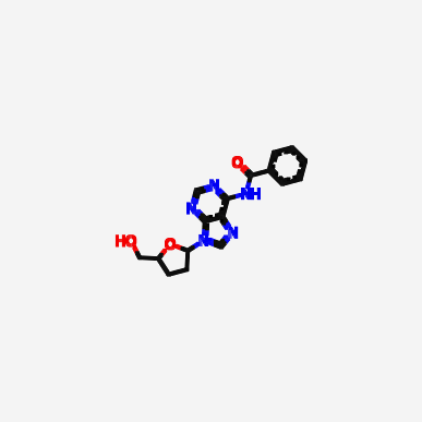 O=C(Nc1ncnc2c1ncn2C1CCC(CO)O1)c1ccccc1